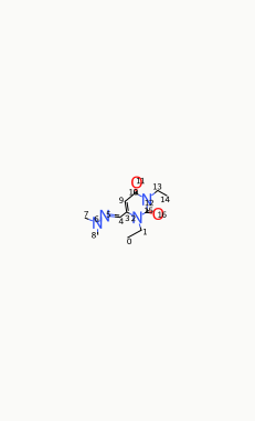 CCn1c(C=NN(C)C)cc(=O)n(CC)c1=O